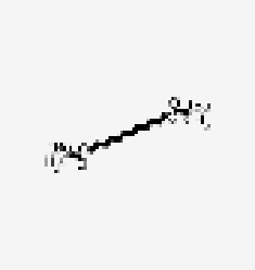 C=C(C(=O)OCCCCCCCCCCCCOC(=O)C(=C)C(C)(C)C)C(C)(C)C